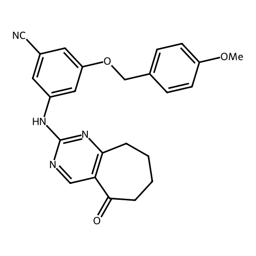 COc1ccc(COc2cc(C#N)cc(Nc3ncc4c(n3)CCCCC4=O)c2)cc1